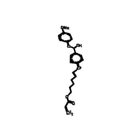 C=CC(=O)OCCCCCCOc1ccc(C(O)Oc2ccc(OC)cc2)cc1